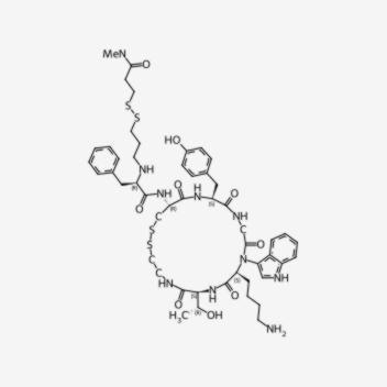 CNC(=O)CCSSCCCN[C@H](Cc1ccccc1)C(=O)N[C@H]1CSSCCNC(=O)[C@H]([C@@H](C)O)NC(=O)[C@H](CCCCN)N(c2c[nH]c3ccccc23)C(=O)CNC(=O)[C@H](Cc2ccc(O)cc2)NC1=O